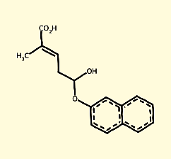 CC(=CCC(O)Oc1ccc2ccccc2c1)C(=O)O